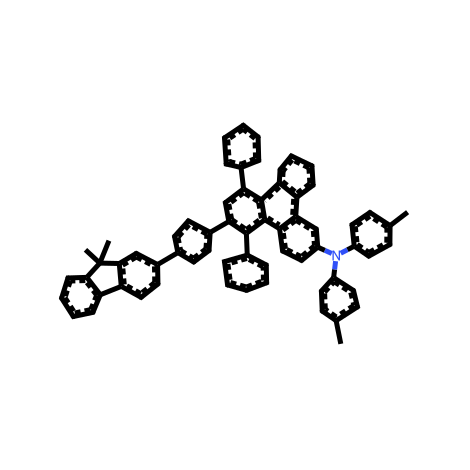 Cc1ccc(N(c2ccc(C)cc2)c2ccc3c(c2)c2ccccc2c2c(-c4ccccc4)cc(-c4ccc(-c5ccc6c(c5)C(C)(C)c5ccccc5-6)cc4)c(-c4ccccc4)c32)cc1